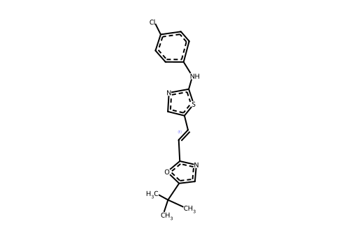 CC(C)(C)c1cnc(/C=C/c2cnc(Nc3ccc(Cl)cc3)s2)o1